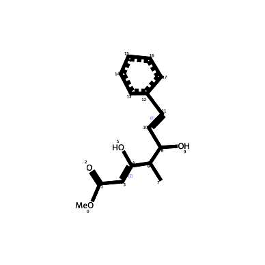 COC(=O)/C=C(\O)C(C)C(O)/C=C/c1ccccc1